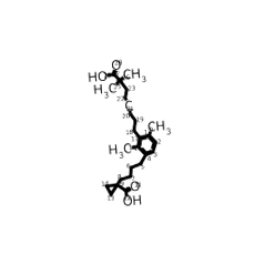 Cc1ccc(CCCCC2(C(=O)O)CC2)c(C)c1CCCCCCC(C)(C)C(=O)O